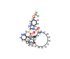 COc1ccnc(C[S+]([O-])c2nc3cc(OC(F)F)ccc3n2S(=O)(=O)C2=C/CCCCCCCCCC3=C(\C=C\2)CCCC3)c1OC